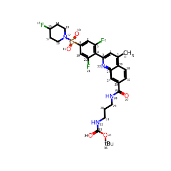 Cc1cc(-c2c(F)cc(S(=O)(=O)N3CCC(F)CC3)cc2F)nc2cc(C(=O)NCCCNC(=O)OC(C)(C)C)ccc12